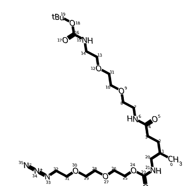 CC(CCC(=O)NCCOCCOCCNC(=O)OC(C)(C)C)CNC(=O)OCCOCCOCCN=[N+]=[N-]